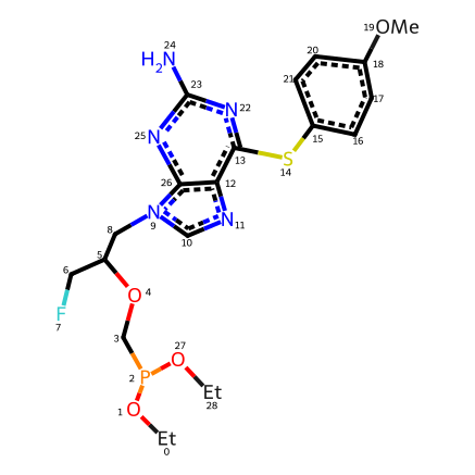 CCOP(COC(CF)Cn1cnc2c(Sc3ccc(OC)cc3)nc(N)nc21)OCC